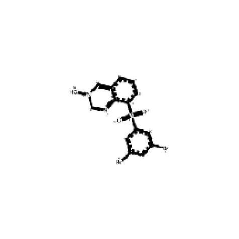 O=S(=O)(c1cc(Br)cc(Br)c1)c1cccc2c1=NCN(O)C=2